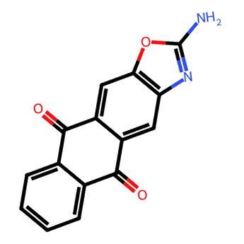 Nc1nc2cc3c(cc2o1)C(=O)c1ccccc1C3=O